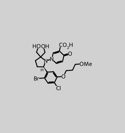 COCCCOc1cc([C@H]2CCC(CO)(CO)N2n2ccc(=O)c(C(=O)O)c2)c(Br)cc1Cl